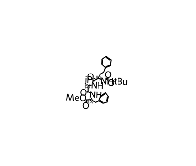 COC(=O)[C@H](Cc1ccccc1)NC(=O)[C@H](CC(C)C)NC(=O)[C@@H](CCc1ccccc1)NC(=O)OC(C)(C)C